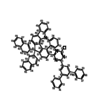 Clc1nc(-c2cc(-c3ccccc3)cc(-c3ccccc3)c2)nc(-c2ccc3c4c2-c2ccccc2-n2c5ccccc5c5ccc(c-4c52)C3(c2ccc3ccccc3c2)c2ccc3ccccc3c2)n1